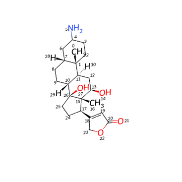 C[C@]12CCC(N)C[C@H]1CC[C@@H]1[C@@H]2C[C@@H](O)[C@]2(C)[C@@H](C3=CC(=O)OC3)CC[C@]12O